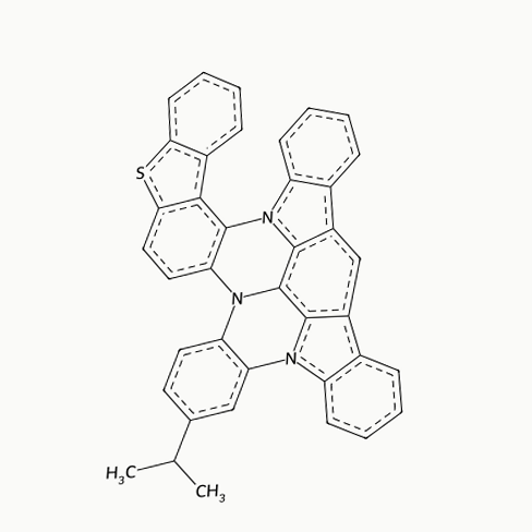 CC(C)c1ccc2c(c1)-n1c3ccccc3c3cc4c5ccccc5n5c4c(c31)N2c1ccc2sc3ccccc3c2c1-5